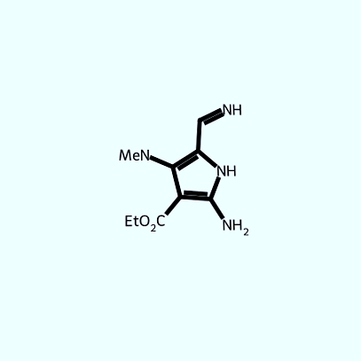 CCOC(=O)c1c(N)[nH]c(C=N)c1NC